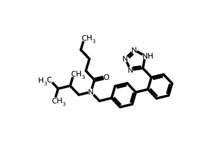 CCCCC(=O)N(Cc1ccc(-c2ccccc2-c2nnn[nH]2)cc1)CC(C)C(C)C